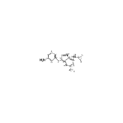 Nc1cccc(Cn2cnc3c(NC4CC4)nc(C(F)(F)F)nc32)c1